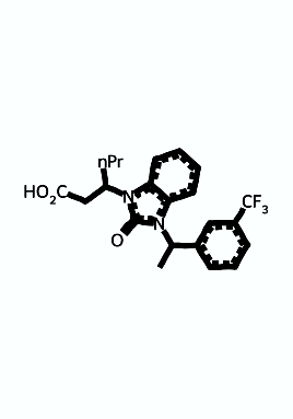 CCCC(CC(=O)O)n1c(=O)n(C(C)c2cccc(C(F)(F)F)c2)c2ccccc21